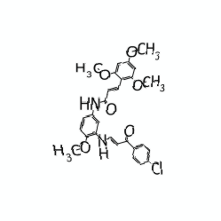 COc1cc(OC)c(C=CC(=O)Nc2ccc(OC)c(NC=CC(=O)c3ccc(Cl)cc3)c2)c(OC)c1